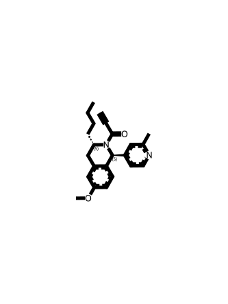 C#CC(=O)N1[C@@H](CCCC)Cc2cc(OC)ccc2[C@@H]1c1ccnc(C)c1